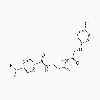 C=C(CCNC(=O)c1cnc(C(F)F)cn1)NC(=O)COc1ccc(Cl)cc1